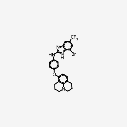 FC(F)(F)c1cc(Br)c2[nH]c(Nc3ccc(Oc4ccc5c6c4CCCN6CCC5)cc3)nc2c1